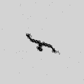 C=CC(=O)OCCCOC1CCC(C2CCC(C(=O)Oc3ccc(OC(=O)C4CCC(C5CCC(OCCCOC(=O)C=C)CC5)CC4)c4c3SC(=C3C(=O)N=C5C=CC=CN53)S4)CC2)CC1